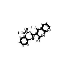 O=C1[N]c2ncccc2C(O)=C1C1=NS(O)(O)c2ccccc2N1